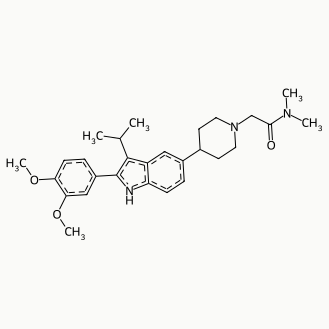 COc1ccc(-c2[nH]c3ccc(C4CCN(CC(=O)N(C)C)CC4)cc3c2C(C)C)cc1OC